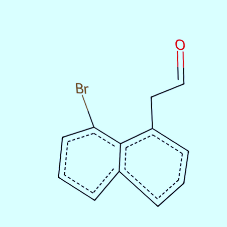 O=CCc1cccc2cccc(Br)c12